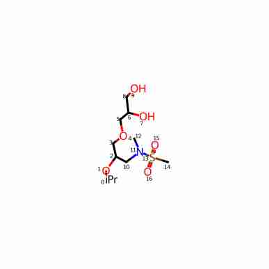 CC(C)OC(COCC(O)CO)CN(C)S(C)(=O)=O